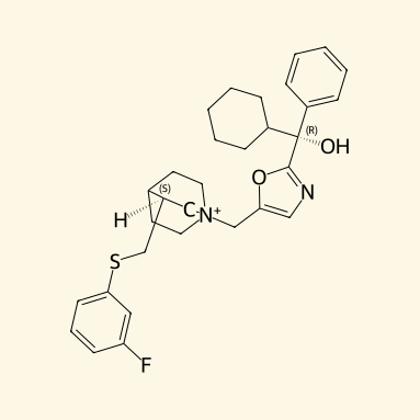 O[C@](c1ccccc1)(c1ncc(C[N+]23CCC(CC2)[C@H](CSc2cccc(F)c2)C3)o1)C1CCCCC1